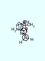 CC(C)(C)OC(=O)N1C[C@H]2C[C@@H](C1)N2c1ccc([N+](=O)[O-])c(N)n1